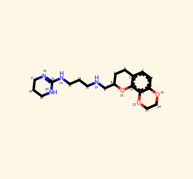 c1cc2c(c3c1CCC(CNCCCNC1=NCCCN1)O3)OCCO2